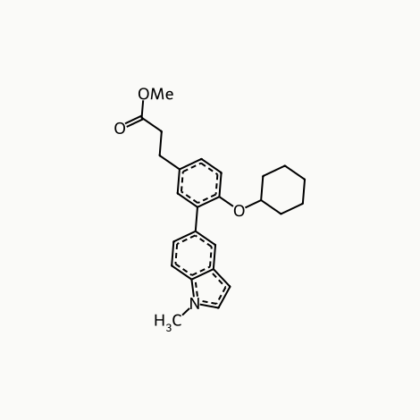 COC(=O)CCc1ccc(OC2CCCCC2)c(-c2ccc3c(ccn3C)c2)c1